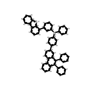 c1ccc(-c2c(-c3ccccc3)c3cc(-c4ccc(N(c5ccccc5)c5cccc(-c6cccc7c6sc6ccccc67)c5)cc4)ccc3c3ccccc23)cc1